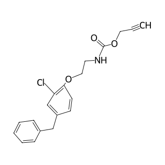 C#CCOC(=O)NCCOc1ccc(Cc2ccccc2)cc1Cl